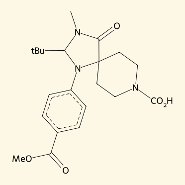 COC(=O)c1ccc(N2C(C(C)(C)C)N(C)C(=O)C23CCN(C(=O)O)CC3)cc1